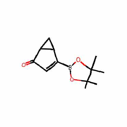 CC1(C)OB(C2=CC(=O)C3CC23)OC1(C)C